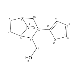 CN1C2CCC1C(CO)C(c1cccs1)C2